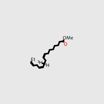 [2H]C([2H])(/C=C\C/C=C\CC)C/C=C\CCCCCCC(=O)OC